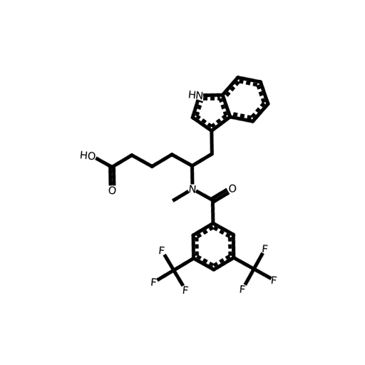 CN(C(=O)c1cc(C(F)(F)F)cc(C(F)(F)F)c1)C(CCCC(=O)O)Cc1c[nH]c2ccccc12